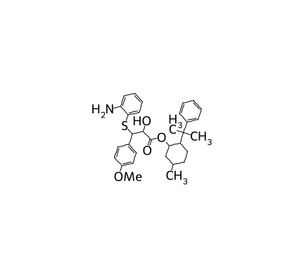 COc1ccc(C(Sc2ccccc2N)C(O)C(=O)OC2CC(C)CCC2C(C)(C)c2ccccc2)cc1